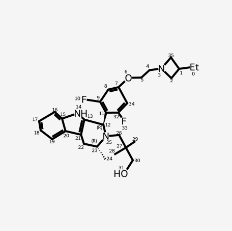 CCC1CN(CCOc2cc(F)c([C@@H]3c4[nH]c5ccccc5c4C[C@@H](C)N3CC(C)(C)CO)c(F)c2)C1